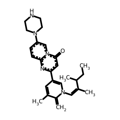 C=C1C(C)=CC(c2cc(=O)n3cc(N4CCNCC4)ccc3n2)=CN1/C=C(/C)C(C)CC